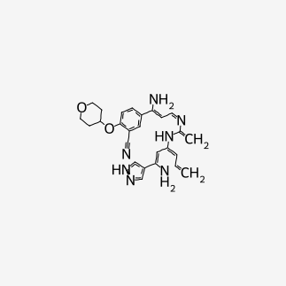 C=C/C=C(\C=C(/N)c1cn[nH]c1)NC(=C)/N=C\C=C(/N)c1ccc(OC2CCOCC2)c(C#N)c1